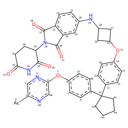 CC(=O)c1cnc(Oc2ccc(C3(c4ccc(OC5CC(Nc6ccc7c(c6)C(=O)N(C6CCC(=O)NC6=O)C7=O)C5)cc4)CCCC3)cc2)cn1